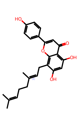 CC(C)=CCC/C(C)=C/Cc1c(O)cc(O)c2c(=O)cc(-c3ccc(O)cc3)oc12